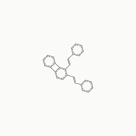 C(=Cc1ccc2c(c1C=Cc1ccccc1)-c1ccccc1-2)c1ccccc1